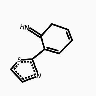 N=C1CC=CC=C1c1nccs1